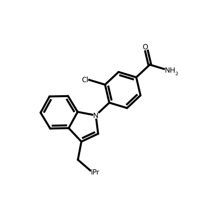 CC(C)Cc1cn(-c2ccc(C(N)=O)cc2Cl)c2ccccc12